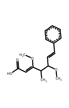 COC(=CC(=O)O)C(C)C(C=Cc1ccccc1)OC